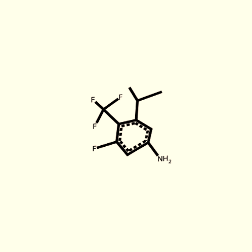 CC(C)c1cc(N)cc(F)c1C(F)(F)F